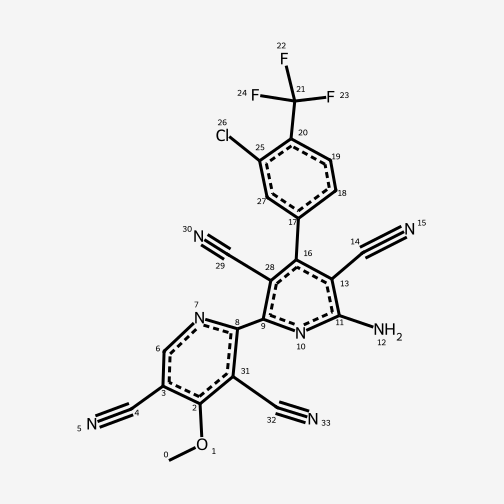 COc1c(C#N)cnc(-c2nc(N)c(C#N)c(-c3ccc(C(F)(F)F)c(Cl)c3)c2C#N)c1C#N